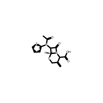 C=C1CS[C@@H]2C(N(C(C)=O)c3cccs3)C(=O)N2C1C(=O)O